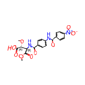 COC(=O)[C@H](NC(=O)c1ccc(NC(=O)c2ccc([N+](=O)[O-])cc2)cc1)[C@@H](OC)C(=O)O